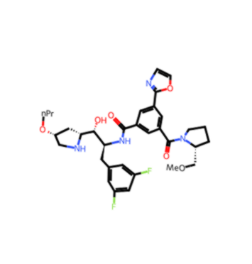 CCCO[C@H]1CN[C@@H]([C@H](O)[C@H](Cc2cc(F)cc(F)c2)NC(=O)c2cc(C(=O)N3CCC[C@@H]3COC)cc(-c3ncco3)c2)C1